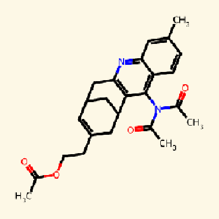 CC(=O)OCCC1=CC2Cc3nc4cc(C)ccc4c(N(C(C)=O)C(C)=O)c3C(C1)C2